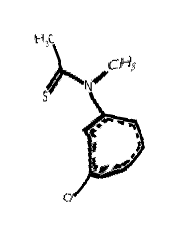 CC(=S)N(C)c1cccc(Cl)c1